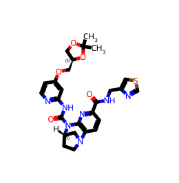 CC1(C)OC[C@H](COc2ccnc(NC(=O)N3c4nc(C(=O)NCc5cscn5)ccc4N4CC[C@H]3C4)c2)O1